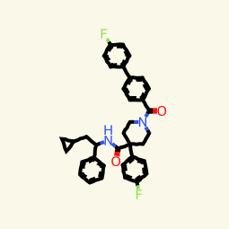 O=C(c1ccc(-c2ccc(F)cc2)cc1)N1CCC(C(=O)NC(CC2CC2)c2ccccc2)(c2ccc(F)cc2)CC1